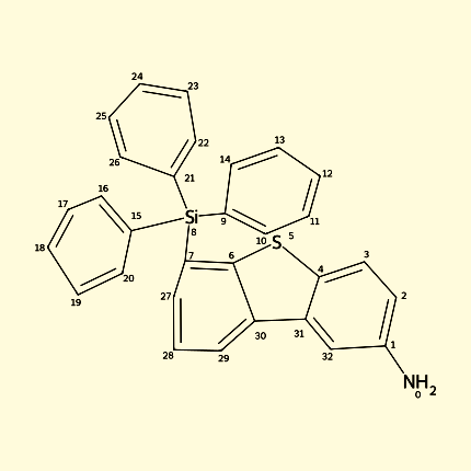 Nc1ccc2sc3c([Si](c4ccccc4)(c4ccccc4)c4ccccc4)cccc3c2c1